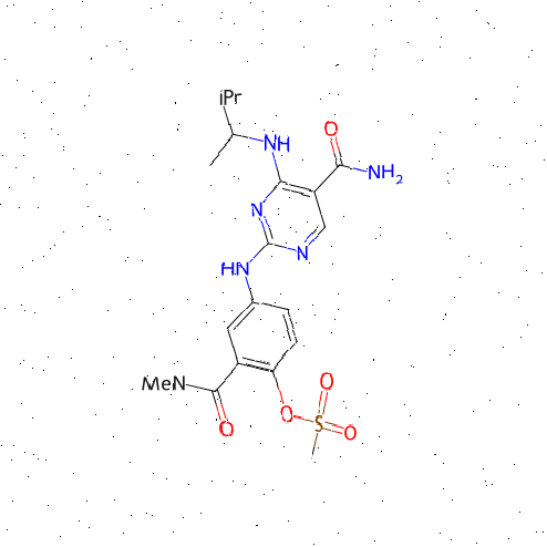 CNC(=O)c1cc(Nc2ncc(C(N)=O)c(NC(C)C(C)C)n2)ccc1OS(C)(=O)=O